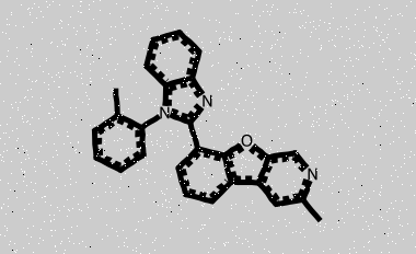 Cc1cc2c(cn1)oc1c(-c3nc4ccccc4n3-c3ccccc3C)cccc12